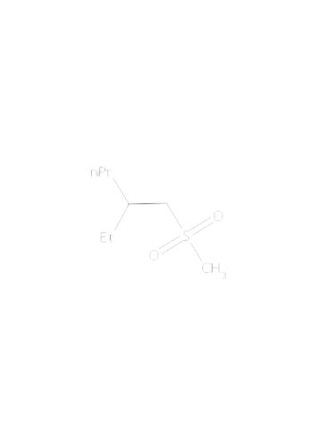 CCCC(CC)CS(C)(=O)=O